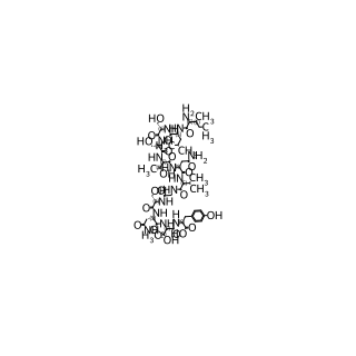 CC[C@H](C)[C@H](N)C(=O)N[C@@H](CC(C)C)C(=O)N[C@@H](CO)C(=O)N[C@@H](CO)C(=O)N[C@H](C(=O)N[C@@H](CC(N)=O)C(=O)N[C@H](C(=O)NCC(=O)N[C@@H](CO)C(=O)N[C@@H](CC(N)=O)C(=O)N[C@H](C(=O)N[C@@H](Cc1ccc(O)cc1)C(=O)O)[C@@H](C)O)C(C)C)[C@@H](C)O